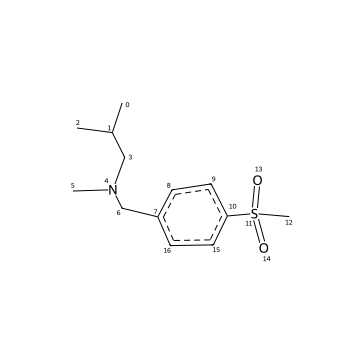 CC(C)CN(C)Cc1ccc(S(C)(=O)=O)cc1